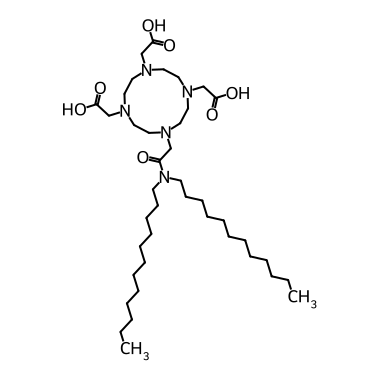 CCCCCCCCCCCCN(CCCCCCCCCCCC)C(=O)CN1CCN(CC(=O)O)CCN(CC(=O)O)CCN(CC(=O)O)CC1